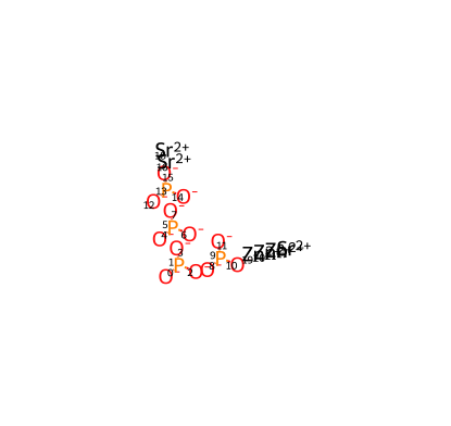 [O-]P([O-])[O-].[O-]P([O-])[O-].[O-]P([O-])[O-].[O-]P([O-])[O-].[Sr+2].[Sr+2].[Sr+2].[Zn+2].[Zn+2].[Zn+2]